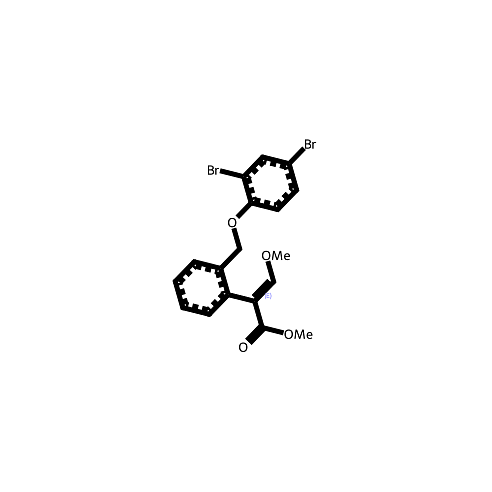 CO/C=C(/C(=O)OC)c1ccccc1COc1ccc(Br)cc1Br